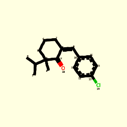 CC(C)C1(C)CCCC(=Cc2ccc(Cl)cc2)C1=O